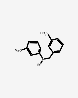 CCN(Cc1cccc(S(=O)(=O)O)c1)c1cccc(OC)c1